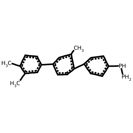 Cc1ccc(-c2ccc(-c3ccc(PP)cc3)c(C)c2)cc1C